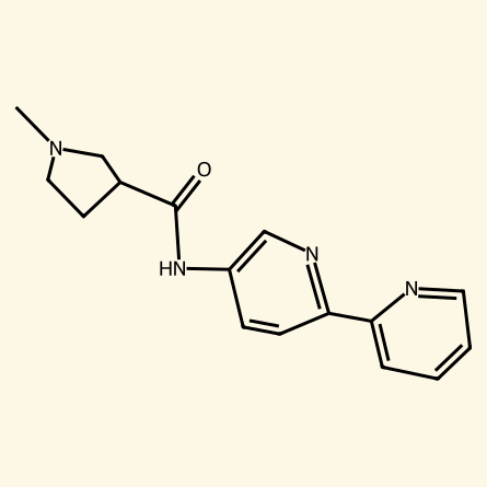 CN1CCC(C(=O)Nc2ccc(-c3ccccn3)nc2)C1